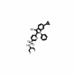 N#Cc1c(-c2ccc(S(=O)(=O)NC(CF)CF)cn2)n(-c2ccccc2)c2cc(C3CC3)ccc12